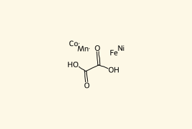 O=C(O)C(=O)O.[Co].[Fe].[Mn].[Ni]